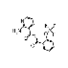 Nc1ncccc1C(=O)OC(=O)c1ccccc1OC(F)(F)F